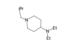 CCN(CC)C1CCN(CC(C)C)CC1